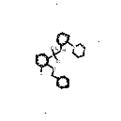 CCC(C)(Pc1ccccc1N1CCCCC1)c1cccc(C)c1OCc1ccccc1